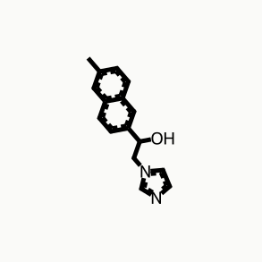 Cc1ccc2cc(C(O)Cn3ccnc3)ccc2c1